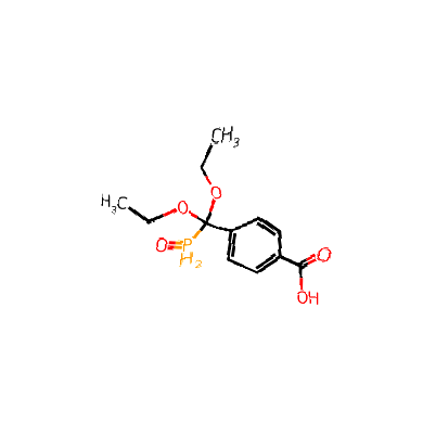 CCOC(OCC)([PH2]=O)c1ccc(C(=O)O)cc1